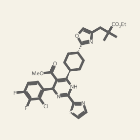 CCOC(=O)C(C)(C)Cc1coc([C@H]2CC[C@H](C3=C(C(=O)OC)C(c4ccc(F)c(F)c4Cl)N=C(c4nccs4)N3)CC2)n1